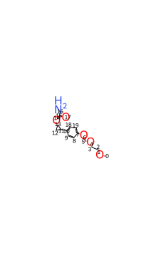 COCCOCOc1ccc(C2CC2OC(N)=O)cc1